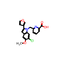 COc1cc2cc(-c3ccoc3)n(Cc3cccc(C(=O)O)n3)c2cc1Cl